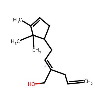 C=CC/C(=C\CC1CC=C(C)C1(C)C)CO